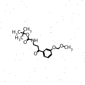 COCOc1cccc(C(=O)CCNC(=O)OC(C)(C)C)c1